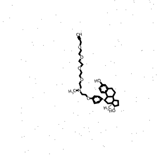 C#CCOCCOCCOCCOCCN(C)CCOc1ccc([C@H]2C[C@@]3(C)C(CC[C@@H]3O)C3CCc4cc(O)ccc4C32)cc1